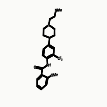 CNCCN1CCC(c2ccc(NC(=O)c3ccccc3OC)c(C(F)(F)F)c2)CC1